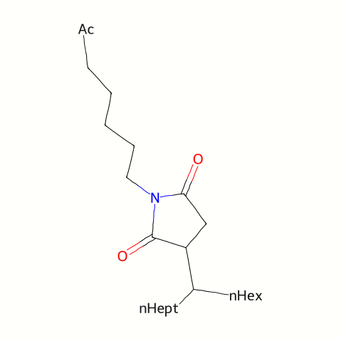 CCCCCCCC(CCCCCC)C1CC(=O)N(CCCCCC(C)=O)C1=O